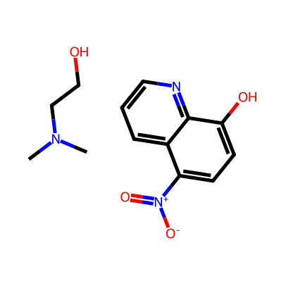 CN(C)CCO.O=[N+]([O-])c1ccc(O)c2ncccc12